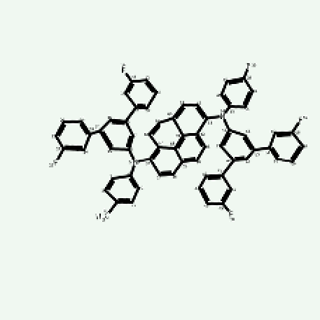 Cc1ccc(N(c2cc(-c3cccc(F)c3)cc(-c3cccc(F)c3)c2)c2ccc3ccc4c(N(c5ccc(F)cc5)c5cc(-c6cccc(F)c6)cc(-c6cccc(F)c6)c5)ccc5ccc2c3c54)cc1